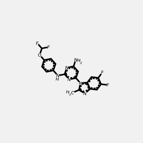 Cc1nc2cc(F)c(F)cc2n1-c1cc(N)nc(Nc2ccc(OC(F)F)cc2)n1